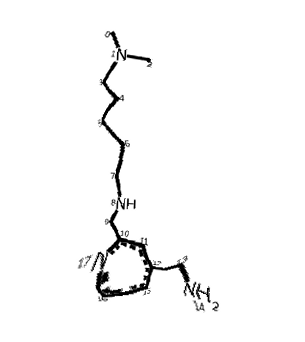 CN(C)CCCCCNCc1cc(CN)ccn1